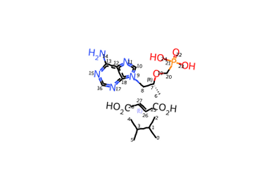 CC(C)C(C)C.C[C@H](Cn1cnc2c(N)ncnc21)OCP(=O)(O)O.O=C(O)/C=C/C(=O)O